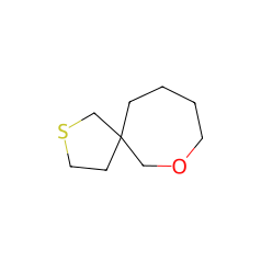 C1CCC2(CCSC2)COC1